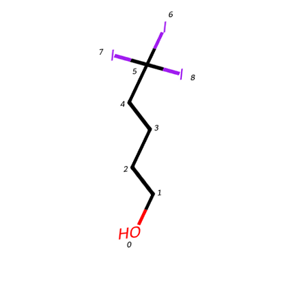 OCCCCC(I)(I)I